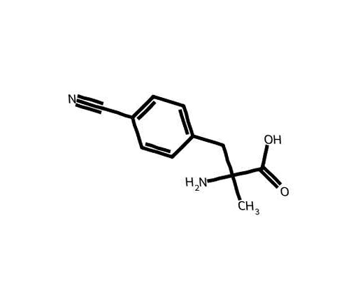 CC(N)(Cc1ccc(C#N)cc1)C(=O)O